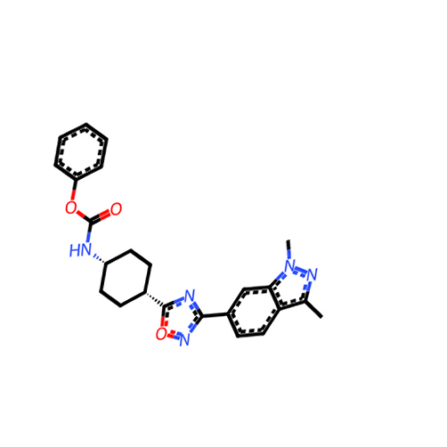 Cc1nn(C)c2cc(-c3noc([C@H]4CC[C@@H](NC(=O)Oc5ccccc5)CC4)n3)ccc12